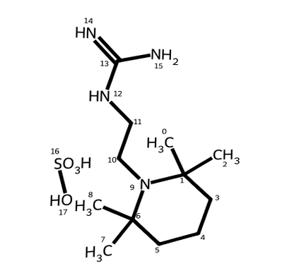 CC1(C)CCCC(C)(C)N1CCNC(=N)N.O=S(=O)(O)O